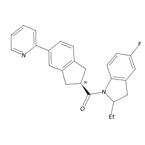 CCC1Cc2cc(F)ccc2N1C(=O)[C@@H]1Cc2ccc(-c3ccccn3)cc2C1